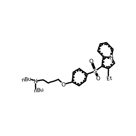 CCCCN(CCCC)CCCOc1ccc(S(=O)(=O)c2c(CC)cn3ccccc23)cc1